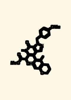 COC(=O)C(O)c1c(-c2ccc3c(c2C)CCCO3)c2cnn(Cc3ccc(OC)cc3)c2c(=O)n1C